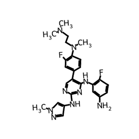 CN(C)CCN(C)c1ccc(-c2cnc(Nc3cnn(C)c3)nc2Nc2cc(N)ccc2F)cc1F